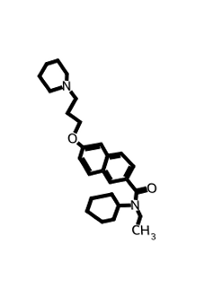 CCN(C(=O)c1ccc2cc(OCCCN3CCCCC3)ccc2c1)C1CCCCC1